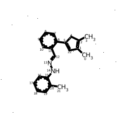 CC1=C(C)CC(c2ccccc2C=NNc2ccccc2C)=C1